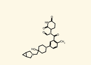 Cc1ccc(N2CCC(O)(CN3CC4CC4C3)CC2)cc1C(=O)N(C=O)C1CCC(=O)NC1=O